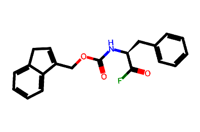 O=C(N[C@@H](Cc1ccccc1)C(=O)F)OCC1=CCc2ccccc21